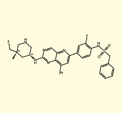 CC(C)c1cc(-c2ccc(NS(=O)(=O)Cc3ccccc3)c(F)c2)nc2cnc(N[C@@H]3CNC[C@@](C)(CF)C3)nc12